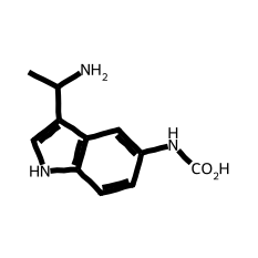 CC(N)c1c[nH]c2ccc(NC(=O)O)cc12